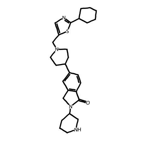 O=C1c2ccc(C3CCN(Cc4cnc(C5CCCCC5)s4)CC3)cc2CN1C1CCCNC1